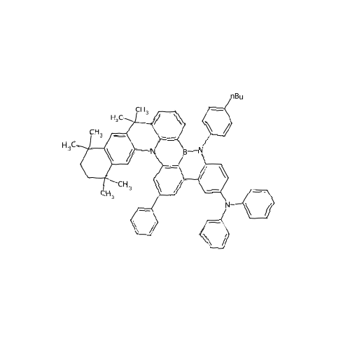 CCCCc1ccc(N2B3c4cccc5c4N(c4cc6c(cc4C5(C)C)C(C)(C)CCC6(C)C)c4cc(-c5ccccc5)cc(c43)-c3cc(N(c4ccccc4)c4ccccc4)ccc32)cc1